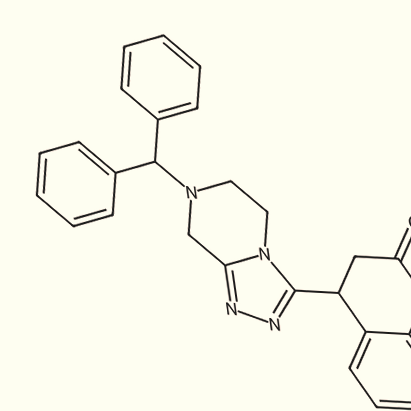 O=C1CC(c2nnc3n2CCN(C(c2ccccc2)c2ccccc2)C3)c2ccccc2N1